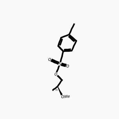 CO[C@@H](C)COS(=O)(=O)c1ccc(C)cc1